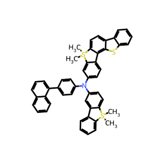 CS1(C)c2ccccc2-c2cc(N(c3ccc(-c4cccc5ccccc45)cc3)c3ccc4c(c3)S(C)(C)c3ccc5c(sc6ccccc65)c3-4)ccc21